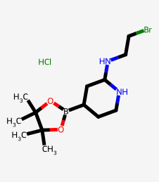 CC1(C)OB(C2CCNC(NCCBr)C2)OC1(C)C.Cl